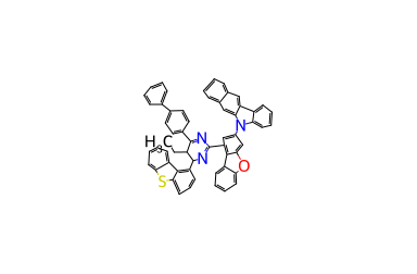 CCC1C(c2ccc(-c3ccccc3)cc2)=NC(c2cc(-n3c4ccccc4c4cc5ccccc5cc43)cc3oc4ccccc4c23)=NC1c1cccc2sc3ccccc3c12